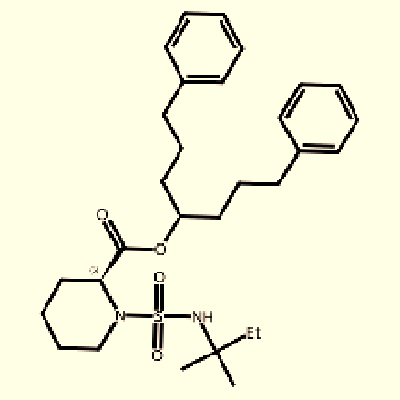 CCC(C)(C)NS(=O)(=O)N1CCCC[C@H]1C(=O)OC(CCCc1ccccc1)CCCc1ccccc1